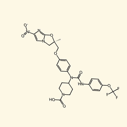 C[C@]1(COc2ccc(N(C(=O)Nc3ccc(OC(F)(F)F)cc3)C3CCN(C(=O)O)CC3)cc2)Cn2cc([N+](=O)[O-])nc2O1